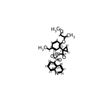 CCc1ccc(OC(C)COC)c(C2(C(=O)NS(=O)(=O)c3cccc4ncccc34)CC2)c1